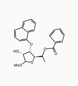 COC1O[C@H](C(C)OC(=O)c2ccccc2)[C@@H](Oc2cccc3ccccc23)[C@H]1O